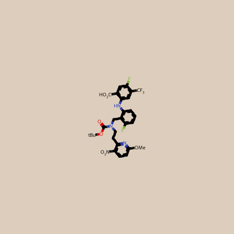 COc1ccc([N+](=O)[O-])c(CCN(Cc2c(F)cccc2Nc2cc(C(F)(F)F)c(F)cc2C(=O)O)C(=O)OC(C)(C)C)n1